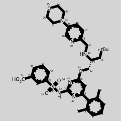 Cc1cccc(C)c1-c1cc(OC[C@@H](CC(C)(C)C)NCc2ccc(N3CCOCC3)cn2)nc(NS(=O)(=O)c2cccc(C(=O)O)c2)n1